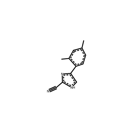 Cc1ccc(-c2c[nH]c(C#N)n2)c(C)c1